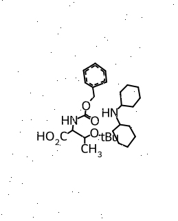 C1CCC(NC2CCCCC2)CC1.CC(OC(C)(C)C)C(NC(=O)OCc1ccccc1)C(=O)O